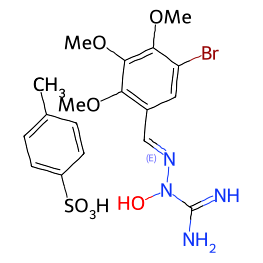 COc1c(Br)cc(/C=N/N(O)C(=N)N)c(OC)c1OC.Cc1ccc(S(=O)(=O)O)cc1